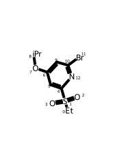 CCS(=O)(=O)c1cc(OC(C)C)cc(Br)n1